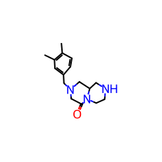 Cc1ccc(CN2CC(=O)N3CCNCC3C2)cc1C